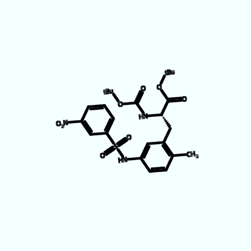 Cc1ccc(NS(=O)(=O)c2cccc([N+](=O)[O-])c2)cc1C[C@H](NC(=O)OC(C)(C)C)C(=O)OC(C)(C)C